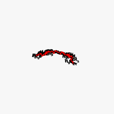 Cc1c(C)c2c(c(C)c1OC(=O)CCC(=O)CCCC1CCN(CCSSCCN3CCC(CCCC(=O)CCC(=O)Oc4c(C)c(C)c5c(c4C)CCC(C)(CCCC(C)CCCC(C)CCCC(C)C)O5)CC3)CC1)CCC(C)(CCCC(C)CCCC(C)CCCC(C)C)O2